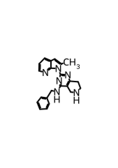 Cc1cc2cccnc2n1-c1nc2c(c(NCc3ccccc3)n1)CNCC2